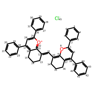 C1=C(c2ccccc2)OC2=C(C=C3CCCc4c(-c5ccccc5)cc(-c5ccccc5)[o+]c43)CCCC2=C1c1ccccc1.[Cl-]